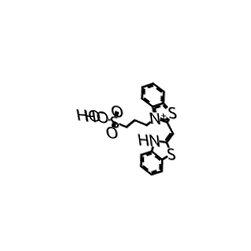 O=S(=O)(O)CCC[n+]1c(C=C2Nc3ccccc3S2)sc2ccccc21.[OH-]